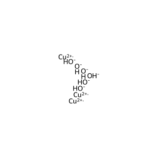 [Cu+2].[Cu+2].[Cu+2].[OH-].[OH-].[OH-].[OH-].[OH-].[OH-]